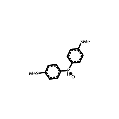 CSc1ccc([PH](=O)c2ccc(SC)cc2)cc1